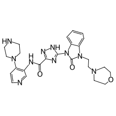 O=C(Nc1cnccc1N1CCNCC1)c1n[nH]c(-n2c(=O)n(CCN3CCOCC3)c3ccccc32)n1